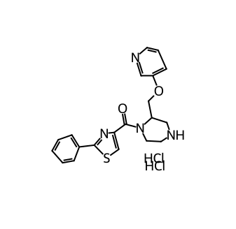 Cl.Cl.O=C(c1csc(-c2ccccc2)n1)N1CCNCC1COc1cccnc1